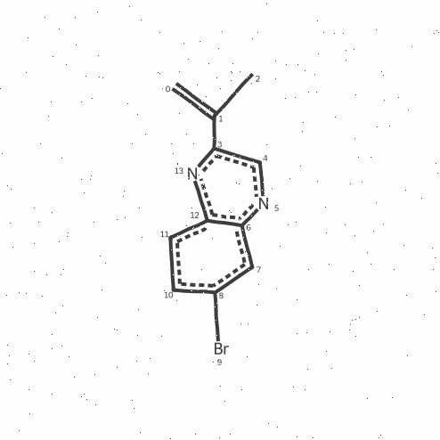 C=C(C)c1cnc2cc(Br)ccc2n1